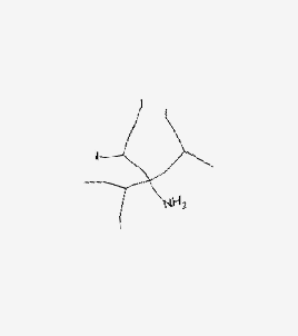 CC(C)C(N)(C(C)C)C(I)I